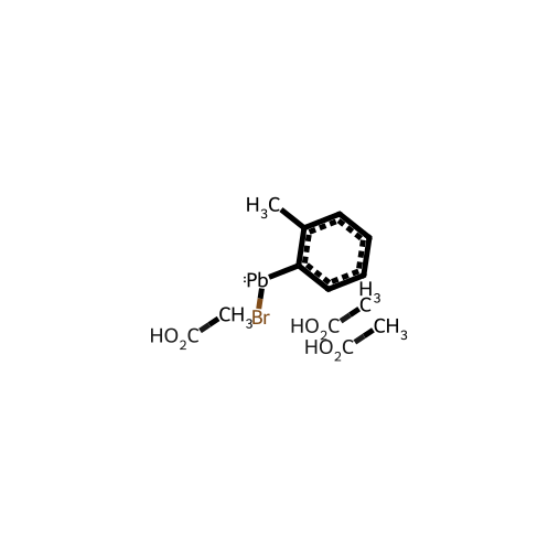 CC(=O)O.CC(=O)O.CC(=O)O.Cc1cccc[c]1[Pb][Br]